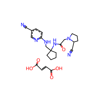 N#Cc1ccc(NCC2(NC(=O)CN3CCCC3C#N)CCCC2)nc1.O=C(O)C=CC(=O)O